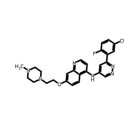 CN1CCN(CCOc2ccc3c(Nc4cnnc(-c5cc(Cl)ccc5F)c4)ccnc3c2)CC1